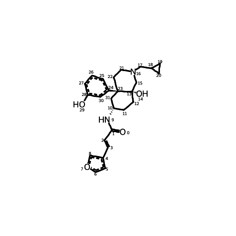 O=C(C=Cc1ccoc1)N[C@H]1CC[C@]2(O)CN(CC3CC3)CC[C@@]2(c2cccc(O)c2)C1